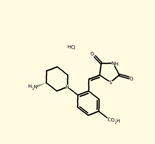 Cl.N[C@@H]1CCCN(c2ccc(C(=O)O)cc2/C=C2\SC(=O)NC2=O)C1